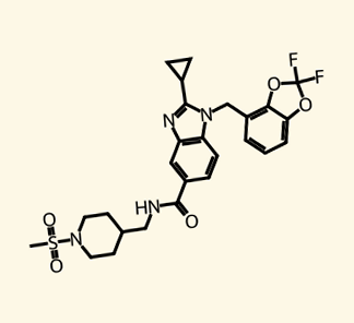 CS(=O)(=O)N1CCC(CNC(=O)c2ccc3c(c2)nc(C2CC2)n3Cc2cccc3c2OC(F)(F)O3)CC1